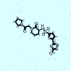 O=C(CN1CCC[C@H](NS(=O)(=O)c2ccc(-c3nsc(Cl)n3)s2)C1=O)N1CCCC1